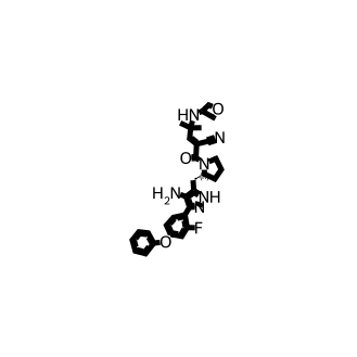 CC(C)(C=C(C#N)C(=O)N1CCC[C@@H]1Cc1[nH]nc(-c2ccc(Oc3ccccc3)cc2F)c1N)NC1COC1